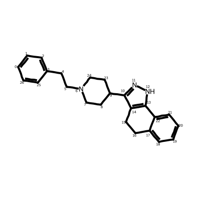 c1ccc(CCN2CCC(c3n[nH]c4c3CCc3ccccc3-4)CC2)cc1